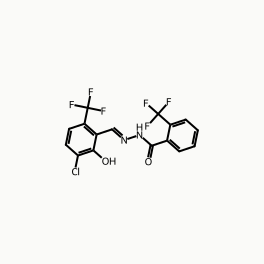 O=C(N/N=C/c1c(C(F)(F)F)ccc(Cl)c1O)c1ccccc1C(F)(F)F